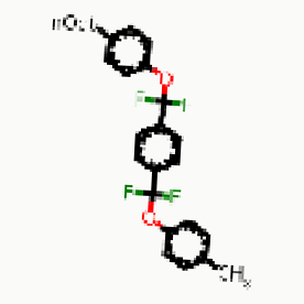 CCCCCCCCc1ccc(OC(F)(F)c2ccc(C(F)(F)Oc3ccc(C)cc3)cc2)cc1